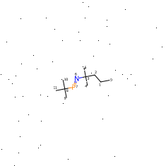 CCCC(C)(C)N=PC(C)(C)C